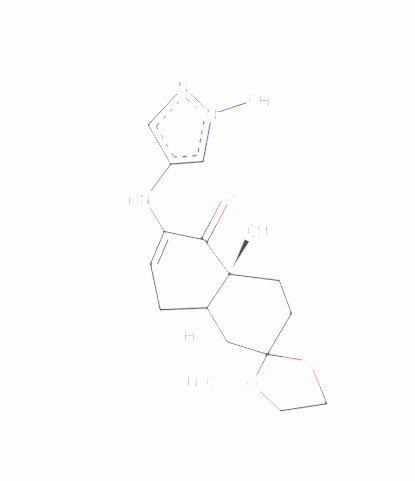 C[C@@H]1[C@H]2CC=C(Nc3cnn(C)c3)C(=O)[C@]2(C)CCC12OCCO2